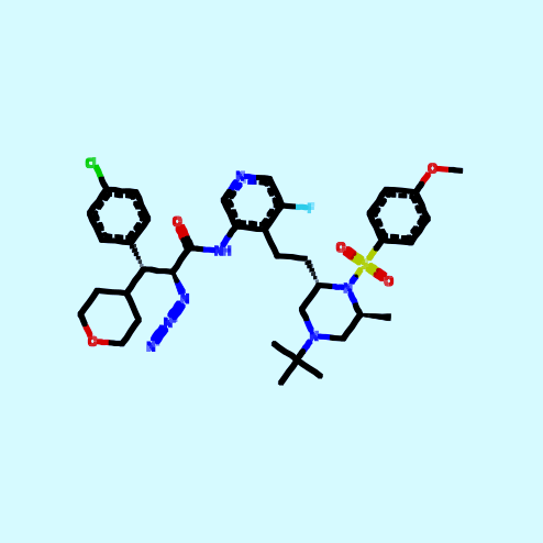 COc1ccc(S(=O)(=O)N2[C@@H](CCc3c(F)cncc3NC(=O)[C@@H](N=[N+]=[N-])[C@@H](c3ccc(Cl)cc3)C3CCOCC3)CN(C(C)(C)C)C[C@@H]2C)cc1